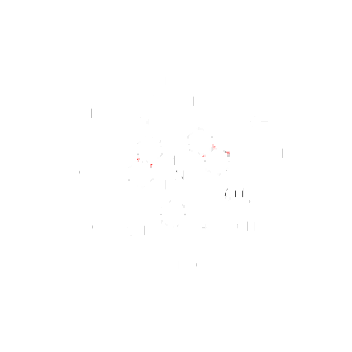 CCC[Si](CCC)(CCC)c1cccc(P(c2cccc([Si](CCC)(CCC)CCC)c2)N(Cc2ccccc2)P(c2cccc([Si](CCC)(CCC)CCC)c2)c2cccc([Si](CCC)(CCC)CCC)c2)c1